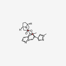 Cn1cc(-c2cn3nccc3c(N3C[C@H]4CC[C@@H](C3)N4C(=O)OC(C)(C)C)n2)cn1